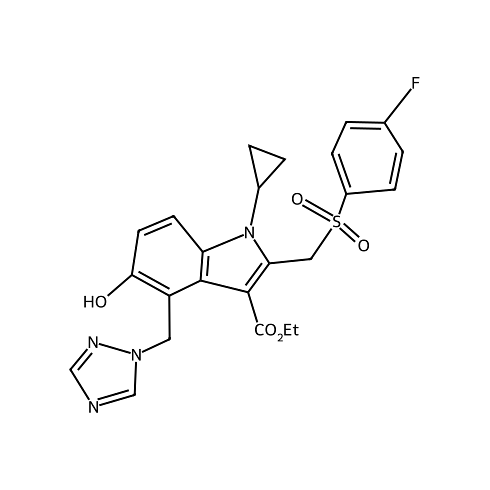 CCOC(=O)c1c(CS(=O)(=O)c2ccc(F)cc2)n(C2CC2)c2ccc(O)c(Cn3cncn3)c12